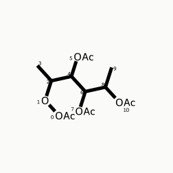 CC(=O)OOC(C)C(OC(C)=O)C(OC(C)=O)C(C)OC(C)=O